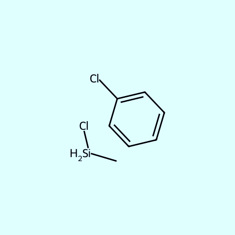 C[SiH2]Cl.Clc1ccccc1